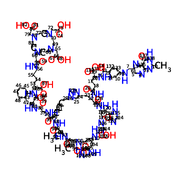 Cc1nc2ncc(CNc3ccc(C(=O)N[C@@H](CCC(=O)NC4Cc5cn(nn5)CCCC[C@H](C(=O)NCC(=O)N[C@H](Cc5ccccc5)C(=O)N[C@H](CCCCNC(=O)CN5CCN(CC(=O)O)CCN(CC(=O)O)CCN(CC(=O)O)CC5)C(=O)O)NC(=O)[C@H](C)NC(=O)[C@H]([C@@H](C)O)NC(=O)[C@H](Cc5cnc[nH]5)NC(=O)[C@H](CO)NC(=O)[C@H](Cc5cnc[nH]5)NC4=O)C(=O)O)cc3)nc2c(=O)[nH]1